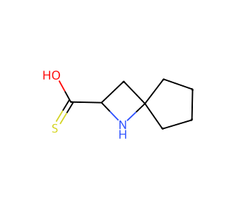 OC(=S)C1CC2(CCCC2)N1